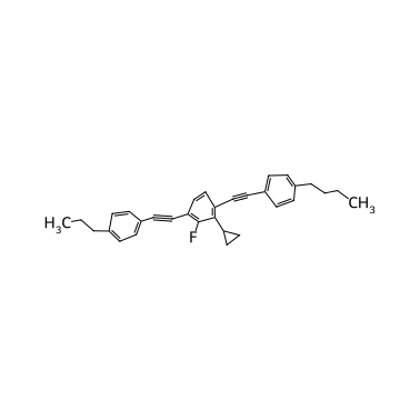 CCCCc1ccc(C#Cc2ccc(C#Cc3ccc(CCC)cc3)c(F)c2C2CC2)cc1